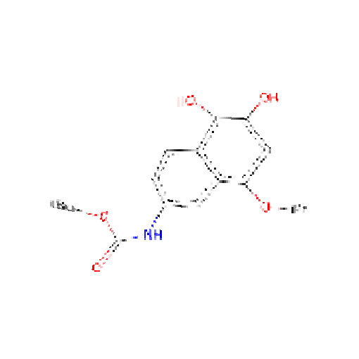 CC(C)Oc1cc(O)c(O)c2ccc(NC(=O)OC(C)(C)C)cc12